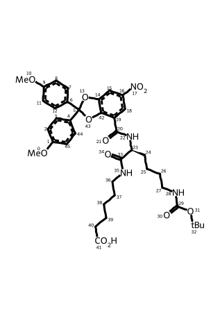 COc1ccc(C2(c3ccc(OC)cc3)Oc3cc([N+](=O)[O-])cc(C(=O)N[C@@H](CCCCNC(=O)OC(C)(C)C)C(=O)NCCCCCC(=O)O)c3O2)cc1